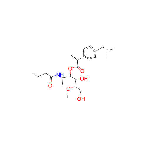 CCCC(=O)NC(C)C(OC(=O)C(C)c1ccc(CC(C)C)cc1)C(O)C(CO)OC